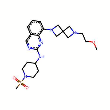 COCCN1CC2(C1)CN(c1cccc3cnc(NC4CCN(S(C)(=O)=O)CC4)nc13)C2